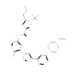 CCCc1cc(C(=O)Nc2cnc(C)c(-n3cc(-c4cncc(N5CCN(CC)CC5)c4)nn3)c2)nn1C(C)(C)C